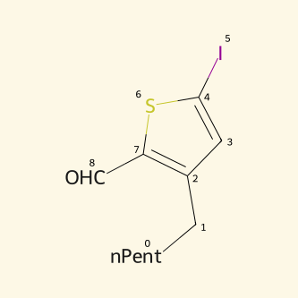 CCCCCCc1cc(I)sc1C=O